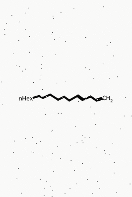 [CH2]CCCCCCCCCCCC=CCC=C